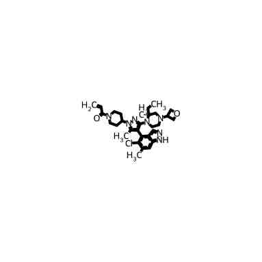 C=CC(=O)N1CCC(n2nc(N3CCN(C4COC4)C[C@]3(C)CC)c(-c3c(Cl)c(C)cc4[nH]ncc34)c2C)CC1